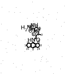 CC1C(C(=O)Nc2c3c(cc4c2CCC4)CCC3)Oc2c(S(=N)(N)=O)cnn21